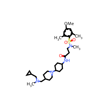 COc1cc(C)c(S(=O)(=O)N(C)CCC(=O)NC2CCC(N3CCC(CN(C)CC4CC4)CC3)CC2)c(C)c1